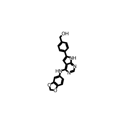 OCc1ccc(-c2cc3c(Nc4ccc5c(c4)OCO5)ncnc3[nH]2)cc1